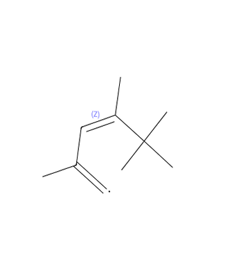 [CH]=C(C)/C=C(/C)C(C)(C)C